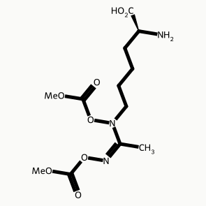 COC(=O)ON=C(C)N(CCCC[C@H](N)C(=O)O)OC(=O)OC